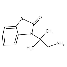 CC(C)(CN)n1c(=O)sc2ccccc21